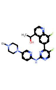 CCN1CCN(c2ccc(Nc3ncc(F)c(-c4cc(F)c5nccc(C(C)O)c5c4)n3)nc2)CC1